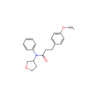 COc1ccc(CCC(=O)N(c2ccccc2)C2CCOC2)cc1